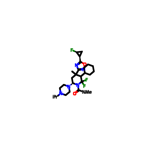 CNC(=O)N1[C@H](N2CCN(C(C)C)CC2)CC(C)(c2noc([C@@H]3C[C@@H]3F)n2)C(C2CCCCC2)C1(F)F